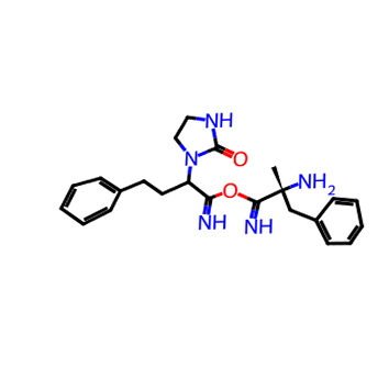 C[C@@](N)(Cc1ccccc1)C(=N)OC(=N)C(CCc1ccccc1)N1CCNC1=O